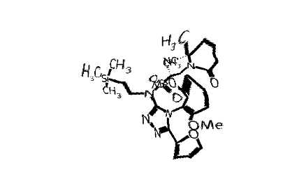 COc1cccc(OC)c1-n1c(-c2ccco2)nnc1N(CC[Si](C)(C)C)S(=O)(=O)[C@H](C)CN1C(=O)CCC[C@@]1(C)C#N